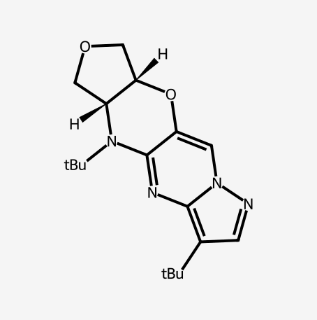 CC(C)(C)c1cnn2cc3c(nc12)N(C(C)(C)C)[C@@H]1COC[C@@H]1O3